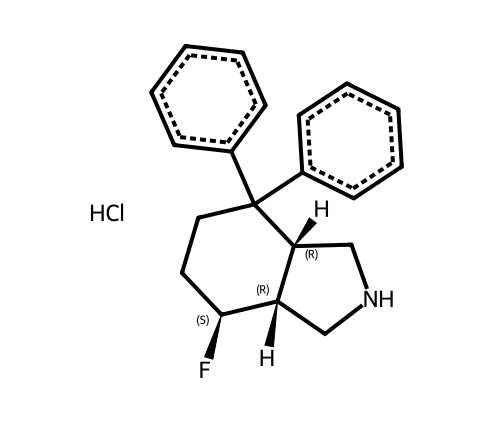 Cl.F[C@H]1CCC(c2ccccc2)(c2ccccc2)[C@@H]2CNC[C@@H]21